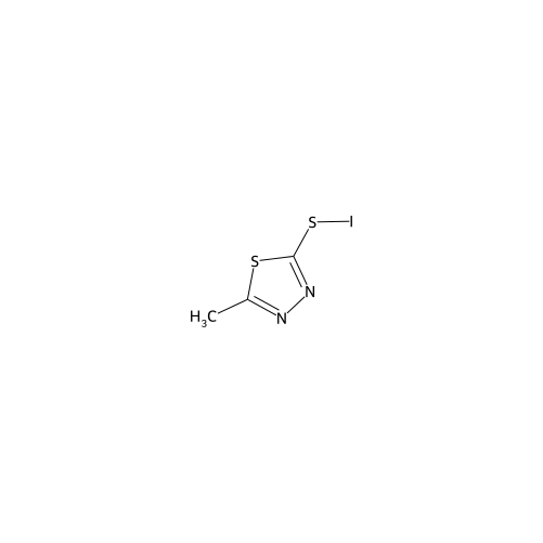 Cc1nnc(SI)s1